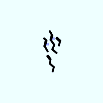 C/C=C/C.C/C=C/CCC.C=CC.C=CCCC